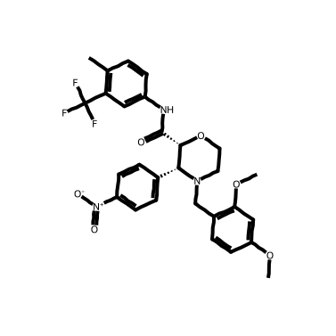 COc1ccc(CN2CCO[C@@H](C(=O)Nc3ccc(C)c(C(F)(F)F)c3)[C@H]2c2ccc([N+](=O)[O-])cc2)c(OC)c1